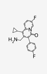 NCc1c(-c2ccc(F)cc2)c(=O)n2cc(F)ccc2c1C1CC1